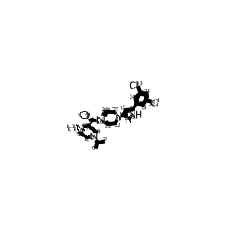 CC(C)N1CCN[C@@H](C(=O)N2CCN(c3cc(-c4cc(Cl)cc(Cl)c4)[nH]n3)CC2)C1